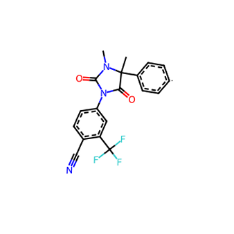 CN1C(=O)N(c2ccc(C#N)c(C(F)(F)F)c2)C(=O)C1(C)c1cc[c]cc1